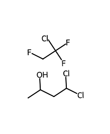 CC(O)CC(Cl)Cl.FCC(F)(F)Cl